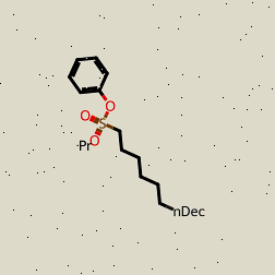 CCCCCCCCCCCCCCCCS(=O)(=O)Oc1ccccc1.[Pr]